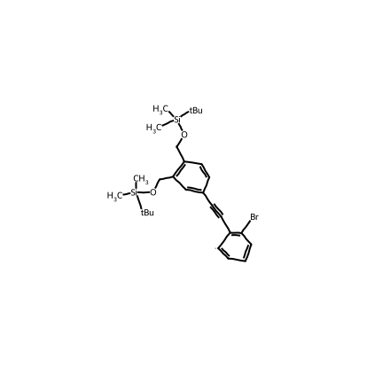 CC(C)(C)[Si](C)(C)OCc1ccc(C#Cc2[c]cccc2Br)cc1CO[Si](C)(C)C(C)(C)C